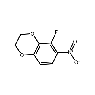 O=[N+]([O-])c1ccc2c(c1F)OCCO2